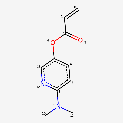 C=CC(=O)Oc1ccc(N(C)C)nc1